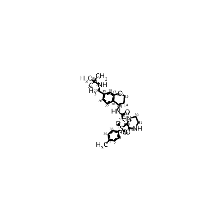 Cc1ccc(S(=O)(=O)[C@@]2(CC(=O)N[C@@H]3CCOc4cc(CNC(C)(C)C)ccc43)NCCNC2=O)cc1